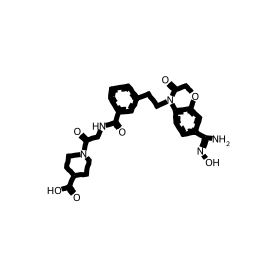 N/C(=N\O)c1ccc2c(c1)OCC(=O)N2CCc1cccc(C(=O)NCC(=O)N2CCC(C(=O)O)CC2)c1